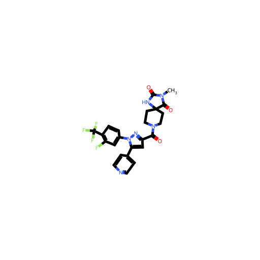 CN1C(=O)NC2(CCN(C(=O)c3cc(-c4ccncc4)n(-c4ccc(C(F)(F)F)c(F)c4)n3)CC2)C1=O